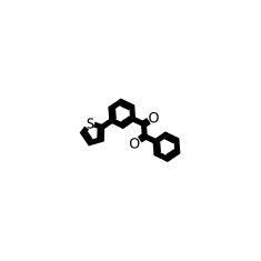 O=C(C(=O)c1cccc(-c2cccs2)c1)c1ccccc1